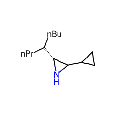 CCCCC(CCC)[C@H]1NC1C1CC1